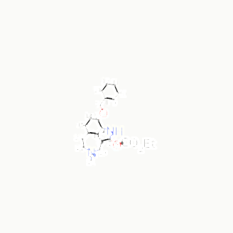 CCOC(=O)Oc1[nH]c2c(OCc3ccccc3)ccc3c2c1CN(C)CC3